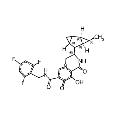 C[C@H]1[C@H]2C([C@@H]3Cn4cc(C(=O)NCc5c(F)cc(F)cc5F)c(=O)c(O)c4C(=O)N3)[C@@H]3CC3[C@@H]12